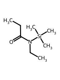 CCC(=O)N(CC)[Si](C)(C)C